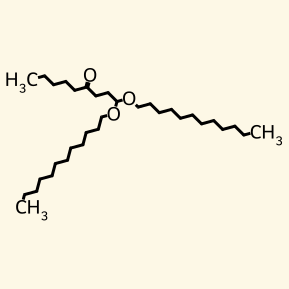 CCCCCCCCCCCCOC(CCC(=O)CCCCC)OCCCCCCCCCCCC